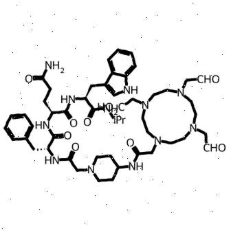 CC(C)NC(=O)[C@H](Cc1c[nH]c2ccccc12)NC(=O)[C@H](CCC(N)=O)NC(=O)[C@@H](Cc1ccccc1)NC(=O)CN1CCC(NC(=O)CN2CCN(CC=O)CCN(CC=O)CCN(CC(=O)O)CC2)CC1